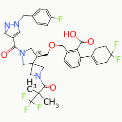 CC(C)(C(=O)N1CC2(CN(C(=O)c3cnn(Cc4ccc(F)cc4)c3)C[C@H]2COCc2cccc(C3=CCC(F)(F)CC3)c2C(=O)O)C1)C(F)(F)F